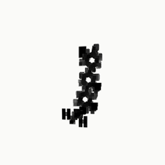 Cc1ccc(-c2ccc(-c3ccc(PP)c(F)c3)c(F)c2)cc1F